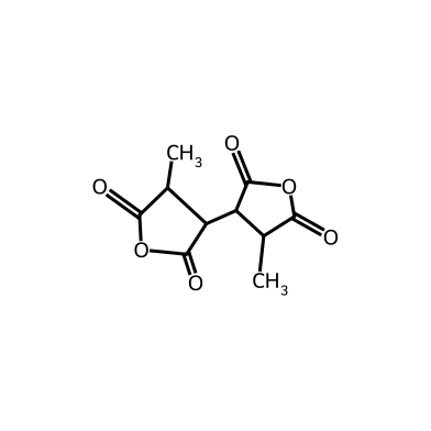 CC1C(=O)OC(=O)C1C1C(=O)OC(=O)C1C